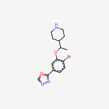 CC(Oc1cc(-c2nnco2)ccc1Br)C1CCNCC1